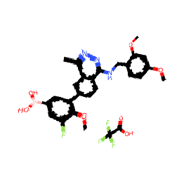 COc1ccc(CNc2nnc(C)c3cc(-c4cc(B(O)O)cc(F)c4OC)ccc23)c(OC)c1.O=C(O)C(F)(F)F